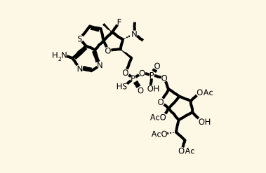 CC(=O)OC[C@H](OC(C)=O)C1C(O)C(OC(C)=O)C2C(OP(=O)(O)OP(=O)(S)OC[C@H]3OC4(C=CSc5c(N)ncnc54)[C@](C)(F)[C@@H]3N(C)C)OC21OC(C)=O